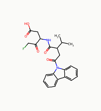 CC(C)C(CC(=O)n1c2ccccc2c2ccccc21)C(=O)NC(CC(=O)O)C(=O)CF